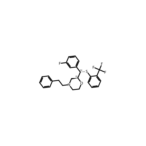 Fc1cccc([C@H](Sc2ccccc2C(F)(F)F)[C@@H]2CN(CCc3ccccc3)CCO2)c1